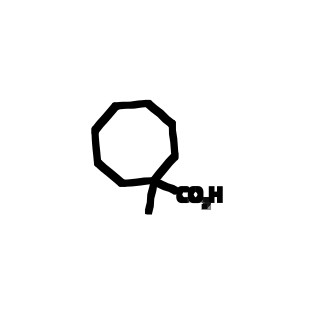 CC1(C(=O)O)CCCCCCC1